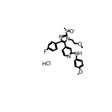 COCCn1c([S+](C)[O-])nc(-c2ccc(F)cc2)c1-c1ccnc(Nc2ccc(OC)cc2)c1.Cl